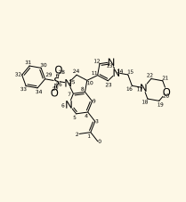 CC(C)=Cc1cnc2c(c1)C(c1cnn(CCN3CCOCC3)c1)CN2S(=O)(=O)c1ccccc1